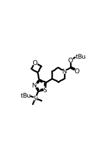 CC(C)(C)OC(=O)N1CCC(c2sc([Si](C)(C)C(C)(C)C)nc2C2COC2)CC1